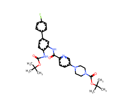 CC(C)(C)OC(=O)Nc1ccc(-c2ccc(F)cc2)cc1NC(=O)c1ccc(N2CCN(C(=O)OC(C)(C)C)CC2)cn1